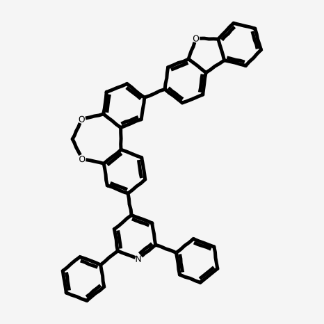 c1ccc(-c2cc(-c3ccc4c(c3)OCOc3ccc(-c5ccc6c(c5)oc5ccccc56)cc3-4)cc(-c3ccccc3)n2)cc1